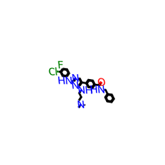 CN(C)CCCNc1nc(Nc2ccc(F)c(Cl)c2)ncc1-c1ccc(C(=O)NCc2ccccc2)cc1